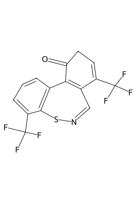 O=C1CC=C(C(F)(F)F)C2=C1c1cccc(C(F)(F)F)c1SN=C2